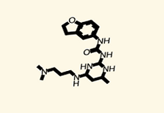 CC1CC(NCCCN(C)C)NC(NC(=O)Nc2ccc3c(c2)CCO3)N1